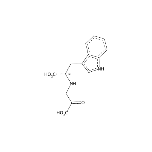 O=C(O)C(=O)CN[C@@H](Cc1c[nH]c2ccccc12)C(=O)O